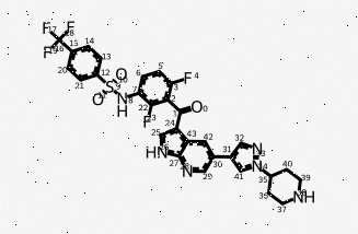 O=C(c1c(F)ccc(NS(=O)(=O)c2ccc(C(F)(F)F)cc2)c1F)c1c[nH]c2ncc(-c3cnn(C4CCNCC4)c3)cc12